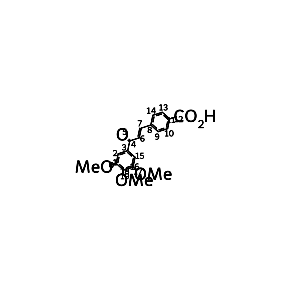 COc1cc(C(=O)C=Cc2ccc(C(=O)O)cc2)cc(OC)c1OC